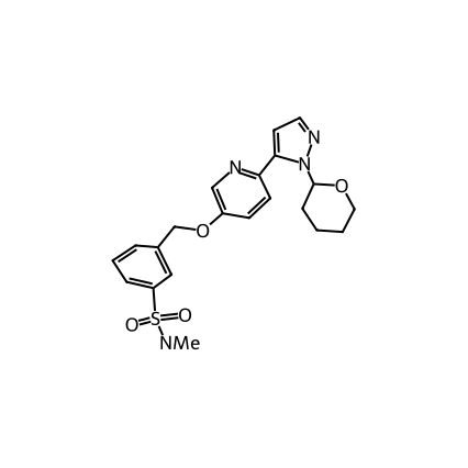 CNS(=O)(=O)c1cccc(COc2ccc(-c3ccnn3C3CCCCO3)nc2)c1